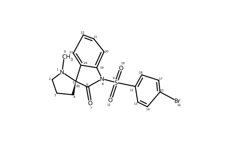 CN1CCC[C@@]12C(=O)N(S(=O)(=O)c1ccc(Br)cc1)c1ccccc12